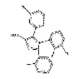 Cc1ccccc1-c1nc(C(=O)O)c(-c2cccc(Cl)c2)n1-c1cccc(Cl)c1F